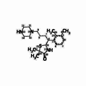 Cc1cccc(C(CCCN2CCNCC2)C2NC(=O)C(C)(C)S2)c1C